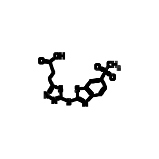 CS(=O)(=O)c1ccc2nc(Sc3nnc(CCC(=O)O)s3)sc2c1